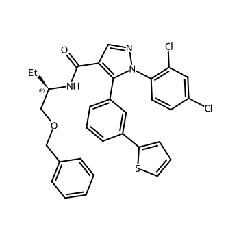 CC[C@H](COCc1ccccc1)NC(=O)c1cnn(-c2ccc(Cl)cc2Cl)c1-c1cccc(-c2cccs2)c1